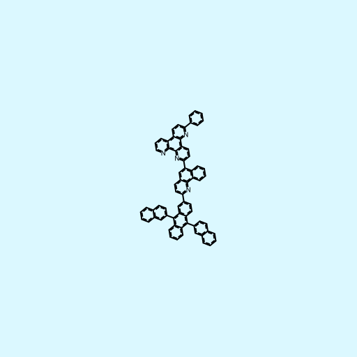 c1ccc(-c2ccc3c4cccnc4c4nc(-c5cc6ccc(-c7ccc8c(-c9ccc%10ccccc%10c9)c9ccccc9c(-c9ccc%10ccccc%10c9)c8c7)nc6c6ccccc56)ccc4c3n2)cc1